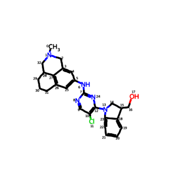 CN1Cc2cc(Nc3ncc(Cl)c(N4CC(CO)c5ccccc54)n3)cc3c2C(CCC3)C1